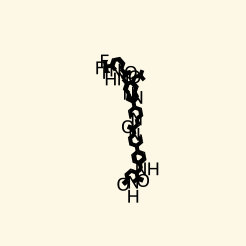 CC(C)Oc1cc2nc(C3CCN(CC(=O)N4CCC(c5ccc(NC6CCC(=O)NC6=O)cc5)CC4)CC3)cn2cc1NC(=O)c1cccc(C(F)(F)F)n1